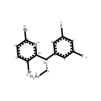 Fc1cc(F)cc([C@H](C[AsH2])c2nc(Br)ccc2Br)c1